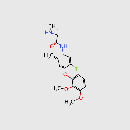 C=C/C=C(Oc1cccc(OC)c1OC)\C(F)=C/CNC(=O)CNC